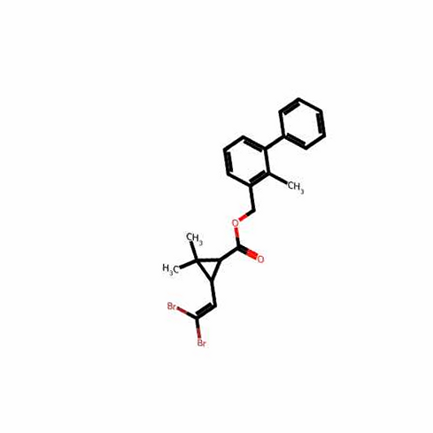 Cc1c(COC(=O)C2C(C=C(Br)Br)C2(C)C)cccc1-c1ccccc1